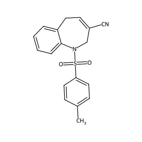 Cc1ccc(S(=O)(=O)N2CC(C#N)=CCc3ccccc32)cc1